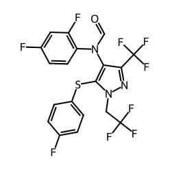 O=CN(c1ccc(F)cc1F)c1c(C(F)(F)F)nn(CC(F)(F)F)c1Sc1ccc(F)cc1